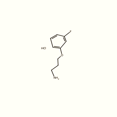 Cl.NCCCOc1cccc(F)c1